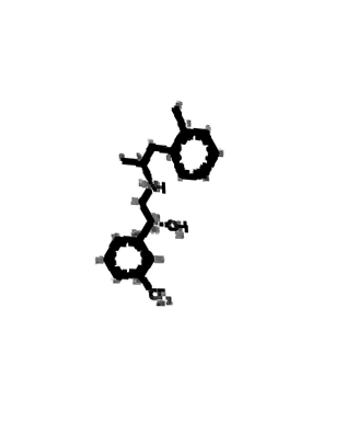 Cc1ccccc1CC(C)NC[C@H](O)c1cccc(C(F)(F)F)c1